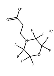 O=C([O-])CCN1C(F)(F)C(F)(F)OC(F)(F)C1(F)F.[K+]